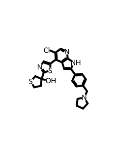 OC1(c2ncc(-c3c(Cl)cnc4[nH]c(-c5ccc(CN6CCCC6)cc5)cc34)s2)CCSC1